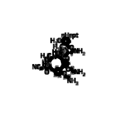 CCCCCCCc1ccc(C(=O)N[C@@H](CCN)C(=O)N(C)[C@@H]2C(=O)N[C@@H](C)C(=O)N[C@H](C(=O)NCC#N)Cc3ccc(OCCN)c(c3)-c3cc2ccc3OCCN)c(C)c1C